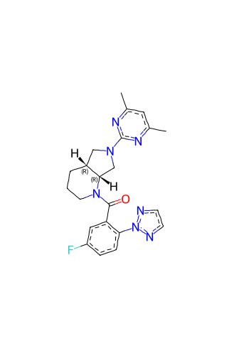 Cc1cc(C)nc(N2C[C@H]3CCCN(C(=O)c4cc(F)ccc4-n4nccn4)[C@H]3C2)n1